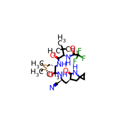 CC(C)(C)[C@H](NC(=O)C(F)(F)F)C(=O)N[C@@H](CS(C)(C)C)C(=O)N[C@H](C#N)C[C@@H]1CC2(CC2)NC1=O